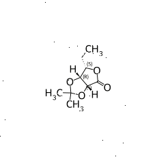 CC[C@@H]1OC(=O)[C@@H]2OC(C)(C)O[C@H]12